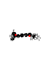 CCC(c1nc2ccc(N3CCN(c4ccc(-c5ccc(C(F)(F)[C@](O)(Cn6cnnn6)c6ccc(F)cc6F)nc5)cc4)CC3)cc2[nH]1)C(C)O